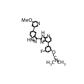 COc1cncc(-c2ccc3[nH]nc(-c4nc5c(-c6cc(F)cc(OCCN(C)C)c6)ccnc5[nH]4)c3c2)c1